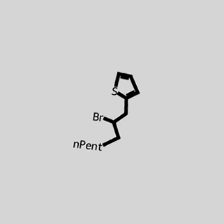 CCCCCCC(Br)Cc1cccs1